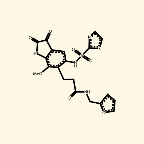 COc1c(CCC(=O)NCc2ccco2)c(NS(=O)(=O)c2nccs2)cc2c1NC(=O)C2=O